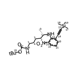 C[C@@H](CCCCNC(=O)OC(C)(C)C)Nc1c(C#C[Si](C)(C)C)cccc1[N+](=O)[O-]